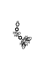 CN1CCN(c2ccc(NC(=O)Nc3ccc(-c4nc(N5[C@@H]6COC[C@H]5[C@H](F)C6)nc(N5[C@@H]6COC[C@H]5[C@@H](F)C6)n4)cc3)cc2)CC1